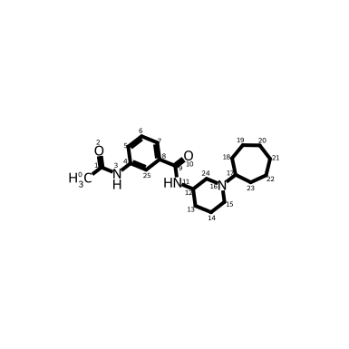 CC(=O)Nc1cccc(C(=O)NC2CCCN(C3CCCCCC3)C2)c1